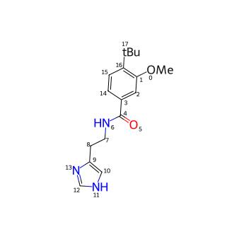 COc1cc(C(=O)NCCc2c[nH]cn2)ccc1C(C)(C)C